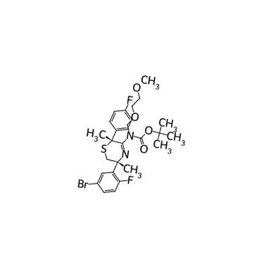 COCCOCN(C(=O)OC(C)(C)C)C1=N[C@](C)(c2cc(Br)ccc2F)CS[C@]1(C)c1ccc(F)cc1